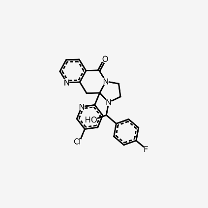 O=C1c2cccnc2CC2(c3ccc(Cl)cn3)N1CCN2C(O)c1ccc(F)cc1